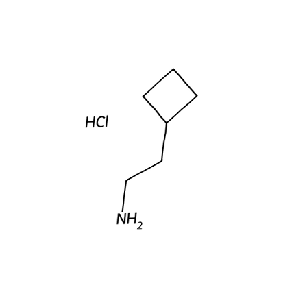 Cl.NCCC1CCC1